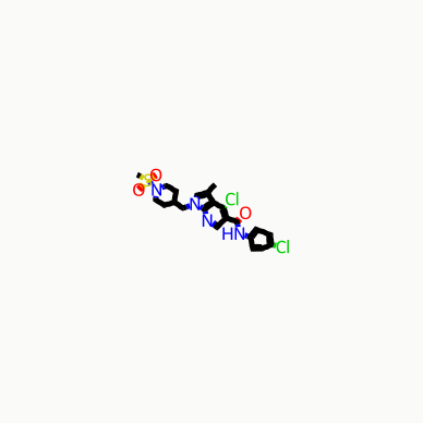 Cc1cn(CC2CCN(S(C)(=O)=O)CC2)c2ncc(C(=O)Nc3ccc(Cl)cc3)c(Cl)c12